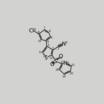 N#Cc1c(-c2cccc(Cl)c2)csc1S(=O)(=O)c1ccccn1